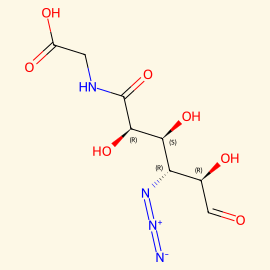 [N-]=[N+]=N[C@H]([C@H](O)[C@@H](O)C(=O)NCC(=O)O)[C@@H](O)C=O